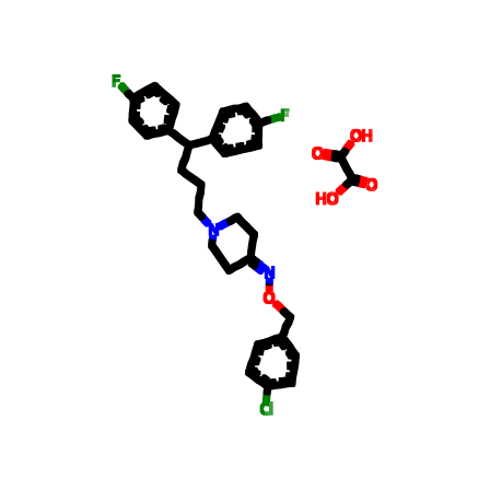 Fc1ccc(C(CCCN2CCC(=NOCc3ccc(Cl)cc3)CC2)c2ccc(F)cc2)cc1.O=C(O)C(=O)O